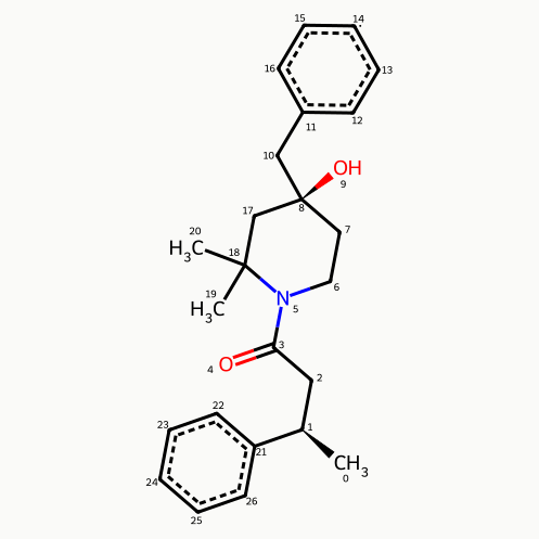 C[C@H](CC(=O)N1CC[C@@](O)(Cc2cc[c]cc2)CC1(C)C)c1ccccc1